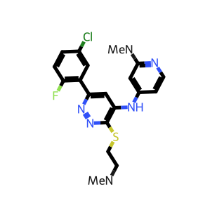 CNCCSc1nnc(-c2cc(Cl)ccc2F)cc1Nc1ccnc(NC)c1